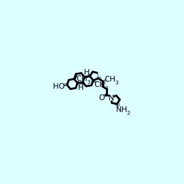 C[C@H](CCC(=O)N1CC[C@H](N)C1)[C@H]1CC[C@H]2C3CC=C4C[C@@H](O)CC[C@]4(C)[C@H]3CC[C@]12C